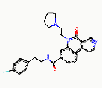 O=C(NCCc1ccc(F)cc1)c1ccc2c3ccncc3c(=O)n(CCN3CCCC3)c2c1